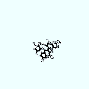 COc1ncc(-n2nc(C(=O)O)c(C(Nc3cc(C)cn(C)c3=O)c3ccc(Cl)cc3)c2C(C)C)c(OC)n1